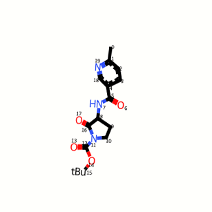 Cc1ccc(C(=O)NC2CCN(C(=O)OC(C)(C)C)C2=O)cn1